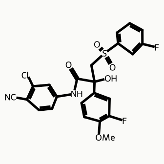 COc1ccc(C(O)(CS(=O)(=O)c2cccc(F)c2)C(=O)Nc2ccc(C#N)c(Cl)c2)cc1F